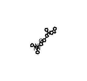 CC1(C)c2ccccc2-c2cc(N(c3ccccc3)c3ccc(-c4ccc5c(c4)oc4cc(-c6nc(-c7ccccc7)nc(-c7ccccc7)n6)ccc45)cc3)ccc21